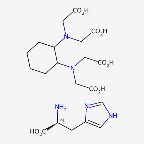 N[C@@H](Cc1c[nH]cn1)C(=O)O.O=C(O)CN(CC(=O)O)C1CCCCC1N(CC(=O)O)CC(=O)O